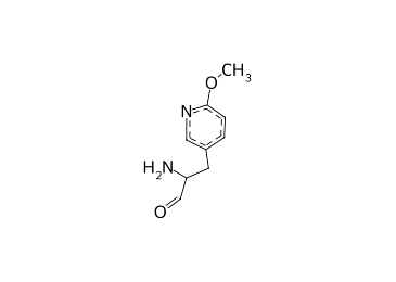 COc1ccc(CC(N)C=O)cn1